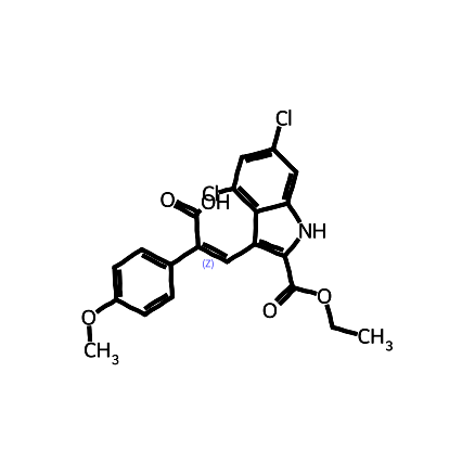 CCOC(=O)c1[nH]c2cc(Cl)cc(Cl)c2c1/C=C(\C(=O)O)c1ccc(OC)cc1